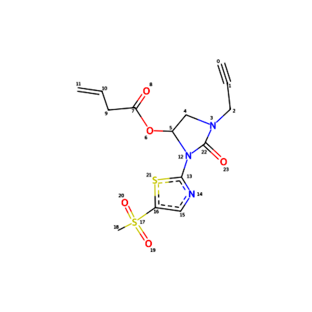 C#CCN1CC(OC(=O)CC=C)N(c2ncc(S(C)(=O)=O)s2)C1=O